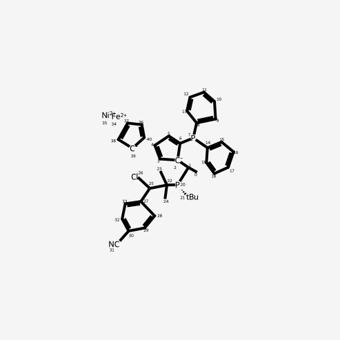 CC([c-]1cccc1P(c1ccccc1)c1ccccc1)[P@](C(C)(C)C)C(C)(C)C(Cl)c1ccc(C#N)cc1.[Fe+2].[Ni+2].c1cc[cH-]c1